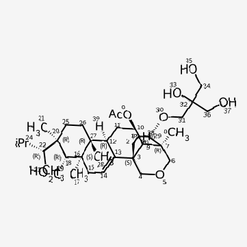 CC(=O)O[C@@H]1C[C@]23COC[C@@](C)([C@@H]2CC[C@H]2C3=CC[C@@]3(C)[C@H](C(=O)O)[C@@](C)([C@H](C)C(C)C)CC[C@]23C)[C@H]1OCC(O)(CO)CO